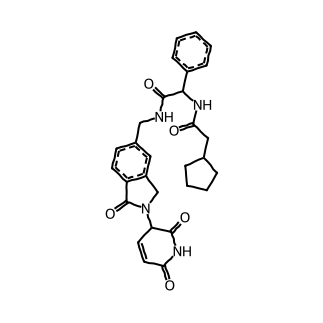 O=C1C=CC(N2Cc3cc(CNC(=O)C(NC(=O)CC4CCCC4)c4ccccc4)ccc3C2=O)C(=O)N1